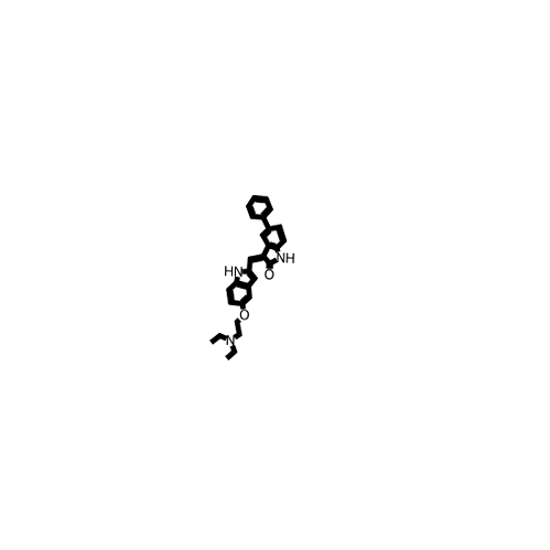 CCN(CC)CCOc1ccc2[nH]c(C=C3C(=O)Nc4ccc(-c5ccccc5)cc43)cc2c1